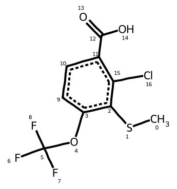 CSc1c(OC(F)(F)F)ccc(C(=O)O)c1Cl